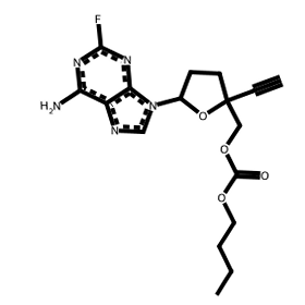 C#CC1(COC(=O)OCCCC)CCC(n2cnc3c(N)nc(F)nc32)O1